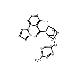 O=C(c1c(F)cccc1-n1nccn1)N1CC2CC1[C@@H](Nc1cnc(C(F)(F)F)cn1)C2